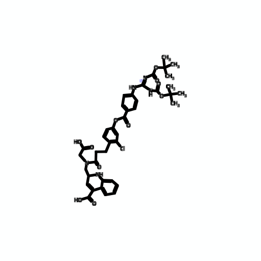 CC(C)(C)OC(=O)/N=C(\NC(=O)OC(C)(C)C)Nc1ccc(C(=O)Oc2ccc(CCC(=O)N(CC(=O)O)CC3C=C(C(=O)O)c4ccccc4N3)c(Cl)c2)cc1